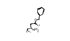 C=CC(N)CC(=O)OCc1ccccc1